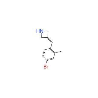 Cc1cc(Br)ccc1C=C1CNC1